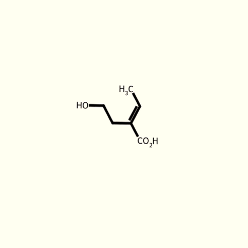 CC=C(CCO)C(=O)O